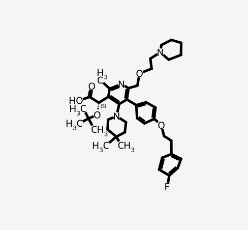 Cc1nc(COCCN2CCCCC2)c(-c2ccc(OCCc3ccc(F)cc3)cc2)c(N2CCC(C)(C)CC2)c1[C@H](OC(C)(C)C)C(=O)O